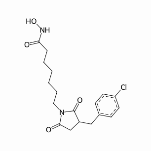 O=C(CCCCCCN1C(=O)CC(Cc2ccc(Cl)cc2)C1=O)NO